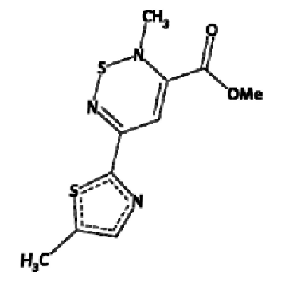 COC(=O)C1=CC(c2ncc(C)s2)=NSN1C